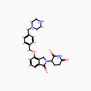 O=C1CCC(N2Cc3c(OCc4ccc(CN5CCNCC5)cc4)cccc3C2=O)C(=O)N1